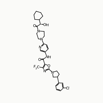 O=C(Nc1ccc(N2CCN(C(=O)[C@H](O)C3CCCCC3)CC2)nc1)c1oc(N2CCC(c3cccc(Cl)c3)C2)nc1C(F)(F)F